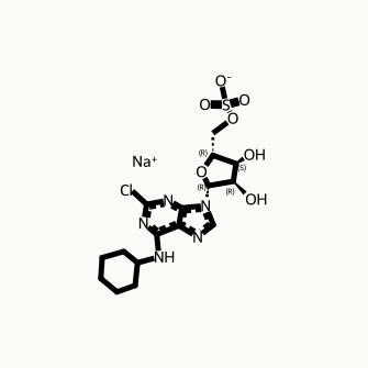 O=S(=O)([O-])OC[C@H]1O[C@@H](n2cnc3c(NC4CCCCC4)nc(Cl)nc32)[C@H](O)[C@@H]1O.[Na+]